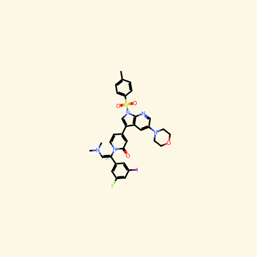 Cc1ccc(S(=O)(=O)n2cc(-c3ccn(/C(=C\N(C)C)c4cc(F)cc(I)c4)c(=O)c3)c3cc(N4CCOCC4)cnc32)cc1